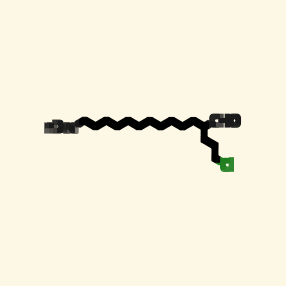 CCCCCCCCCCCCCCCCCCCCCC(C=O)CCCCl